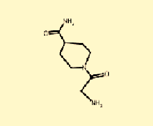 NCC(=O)N1CCC(C(N)=O)CC1